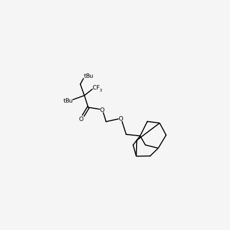 CC(C)(C)CC(C(=O)OCOCC12CC3CC(CC(C3)C1)C2)(C(C)(C)C)C(F)(F)F